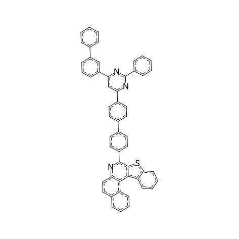 c1ccc(-c2cccc(-c3cc(-c4ccc(-c5ccc(-c6nc7ccc8ccccc8c7c7c6sc6ccccc67)cc5)cc4)nc(-c4ccccc4)n3)c2)cc1